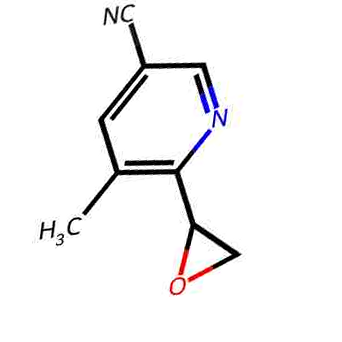 Cc1cc(C#N)cnc1C1CO1